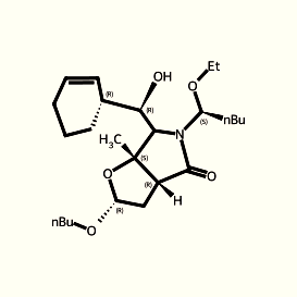 CCCCO[C@H]1C[C@H]2C(=O)N([C@H](CCCC)OCC)C([C@H](O)[C@H]3C=CCCC3)[C@@]2(C)O1